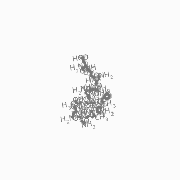 CC(C)C[C@H](NC=O)C(=O)N[C@@H](CCN)C(=O)NC(CCN)C(=O)NC(C(=O)NCC[C@@H](NC(=O)[C@@H](CCN)NC(=O)C(NC(=O)[C@@H](CCN)NC(=O)CCC(=O)N[C@H](CCC(=O)O)C(N)=O)[C@H](C)O)C(=O)NC(CCN)C(=O)N[C@H](C)Cc1ccccc1)C(C)O